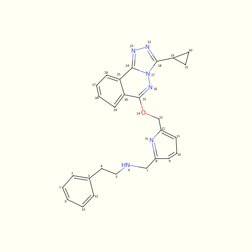 c1ccc(CCNCc2cccc(COc3nn4c(C5CC5)nnc4c4ccccc34)n2)cc1